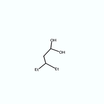 CCC(CC)CC(O)O